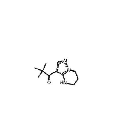 CC(C)(C)C(=O)c1cnn2c1NCCC2